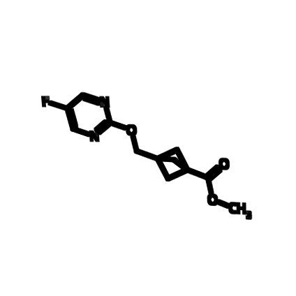 COC(=O)C12CC(COc3ncc(F)cn3)(C1)C2